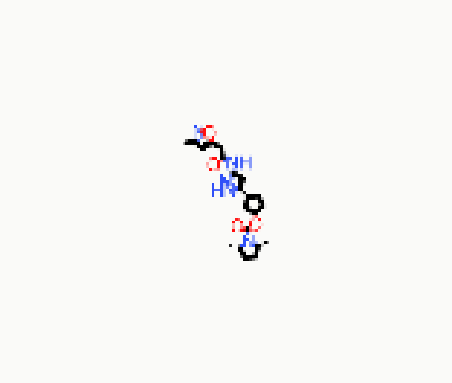 Cc1cc(CC(=O)Nc2cc([C@H]3CC[C@@H](OC(=O)N4[C@@H](C)CC[C@@H]4C)C3)[nH]n2)on1